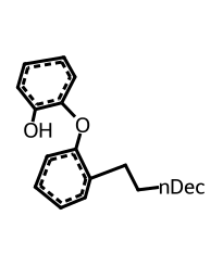 CCCCCCCCCCCCc1ccccc1Oc1ccccc1O